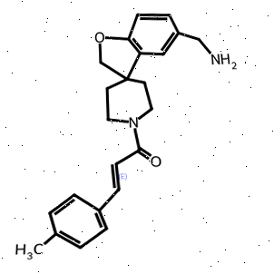 Cc1ccc(/C=C/C(=O)N2CCC3(CC2)COc2ccc(CN)cc23)cc1